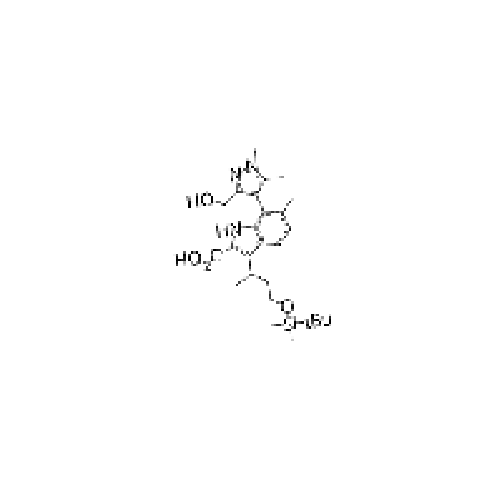 Cc1ccc2c(C(C)CCO[Si](C)(C)C(C)(C)C)c(C(=O)O)[nH]c2c1-c1c(CO)nn(C)c1C